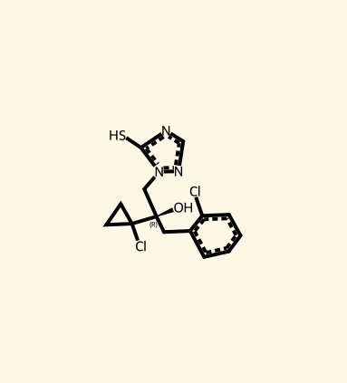 O[C@](Cc1ccccc1Cl)(Cn1ncnc1S)C1(Cl)CC1